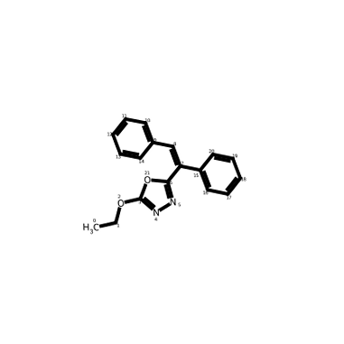 CCOc1nnc(C(=Cc2ccccc2)c2ccccc2)o1